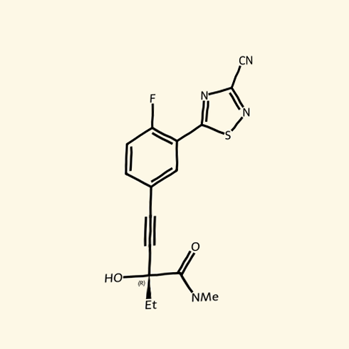 CC[C@@](O)(C#Cc1ccc(F)c(-c2nc(C#N)ns2)c1)C(=O)NC